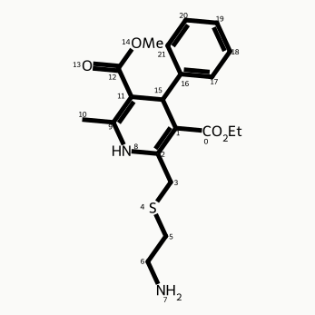 CCOC(=O)C1=C(CSCCN)NC(C)=C(C(=O)OC)C1c1ccccc1